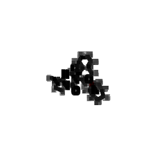 CN1CCn2c1nc(=O)n(CCCN1C3CCC1CC(OCc1ccccc1F)C3)c2=O